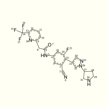 N#Cc1cc(NC(=O)Cc2cccc(C(F)(F)F)n2)cc(F)c1-c1cnn(C2CCNC2)c1